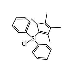 CC1=C(C)C(C)C([Si](Cl)(c2ccccc2)c2ccccc2)=C1C